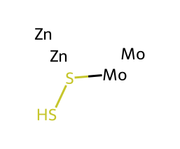 S[S][Mo].[Mo].[Zn].[Zn]